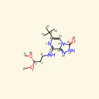 COC(CCNc1nc(C(C)(C)C)cn2c(=O)[nH]nc12)OC